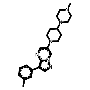 Cc1cccc(-c2cnn3cc(N4CCC(N5CCN(C)CC5)CC4)cnc23)c1